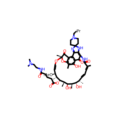 CO[C@H]1/C=C/O[C@@]2(C)Oc3c(C)c(O)c4c(c3C2=O)C2=NC3(CCN(CC(C)C)CC3)NC2=C(NC(=O)/C(C)=C\C=C\[C@H](C)[C@H](O)[C@@H](C)[C@@H](O)[C@@H](C)[C@H](OC(=O)CCCC(=O)NCCN(C)C)[C@@H]1C)C4=O